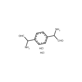 Cl.Cl.NC(C=O)c1ccc(C(N)C=O)cc1